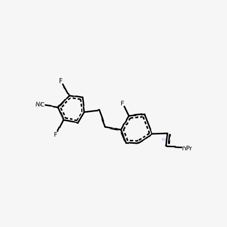 CCC/C=C/c1ccc(CCc2cc(F)c(C#N)c(F)c2)c(F)c1